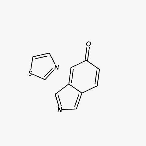 O=C1C=CC2=CN=CC2=C1.c1cscn1